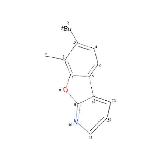 Cc1c(C(C)(C)C)ccc2c1oc1ncccc12